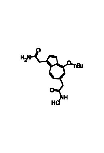 CCCCOc1cc(CC(=O)NO)ccc2c(CC(N)=O)ccc1-2